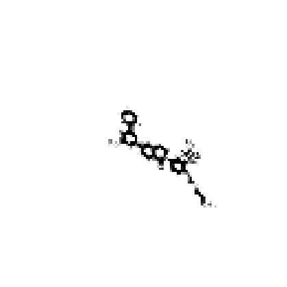 COCCOCOc1ccc(N2CCc3cc(-c4cc(C5=CCCCO5)cc(C(F)(F)F)c4)ccc3C2=O)cc1NS(C)(=O)=O